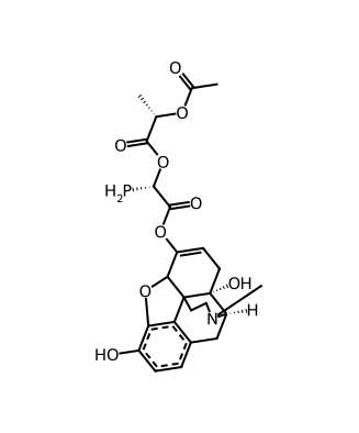 CC(=O)O[C@@H](C)C(=O)O[C@@H](P)C(=O)OC1=CC[C@@]2(O)[C@H]3Cc4ccc(O)c5c4C2(CCN3C)C1O5